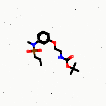 CCCS(=O)(=O)N(C)c1cccc(OCCNC(=O)OC(C)(C)C)c1